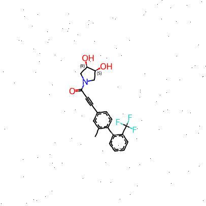 Cc1cc(C#CC(=O)N2C[C@@H](O)[C@@H](O)C2)ccc1-c1ccccc1C(F)(F)F